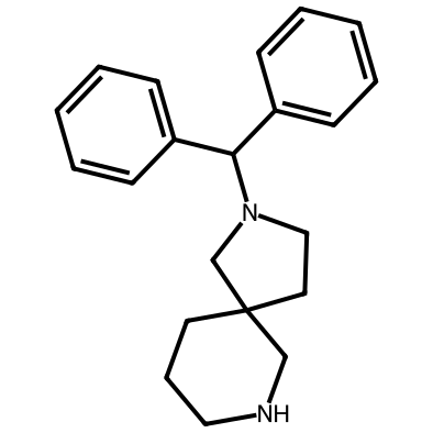 c1ccc(C(c2ccccc2)N2CCC3(CCCNC3)C2)cc1